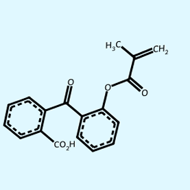 C=C(C)C(=O)Oc1ccccc1C(=O)c1ccccc1C(=O)O